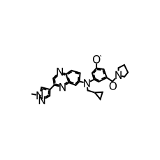 COc1cc(C(=O)N2CCCC2)cc(N(CC2CC2)c2ccc3ncc(-c4cnn(C)c4)nc3c2)c1